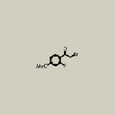 COc1ccc(C(=O)CBr)c(F)c1